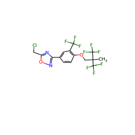 CC(COc1ccc(-c2noc(CCl)n2)cc1C(F)(F)F)(C(F)(F)F)C(F)(F)F